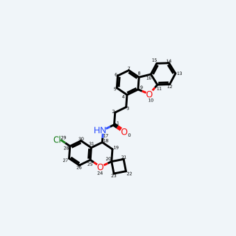 O=C(CCc1cccc2c1oc1ccccc12)NC1CC2(CCC2)Oc2ccc(Cl)cc21